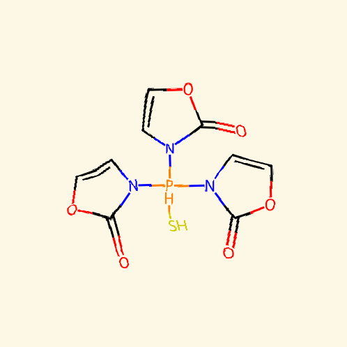 O=c1occn1[PH](S)(n1ccoc1=O)n1ccoc1=O